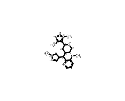 COc1cccnc1C(C1C=NN(C)C1)C1CCOC(c2c(C)nnn2C)C1